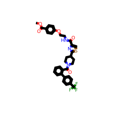 COC(=O)c1ccc(OCCNC(=O)c2csc(C3CCN(C(=O)c4ccccc4-c4ccc(C(F)(F)F)cc4)CC3)n2)cc1